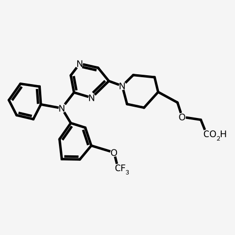 O=C(O)COCC1CCN(c2cncc(N(c3ccccc3)c3cccc(OC(F)(F)F)c3)n2)CC1